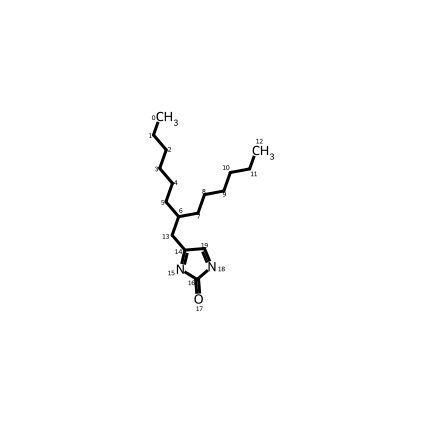 CCCCCCC(CCCCCC)CC1=NC(=O)N=C1